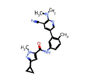 Cc1ccc(NC(=O)c2cc(C3CC3)nn2C)cc1-c1cnc(N(C)C)c(C#N)c1